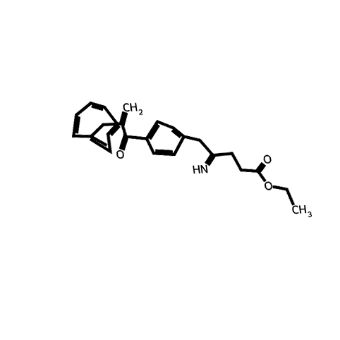 C=C(CC1=C\C=C\C=C/C=C\1)C(=O)c1ccc(CC(=N)CCC(=O)OCC)cc1